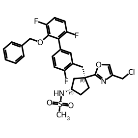 CS(=O)(=O)N[C@H]1CC[C@](Cc2cc(-c3c(F)ccc(F)c3OCc3ccccc3)ccc2F)(c2nc(CCl)co2)C1